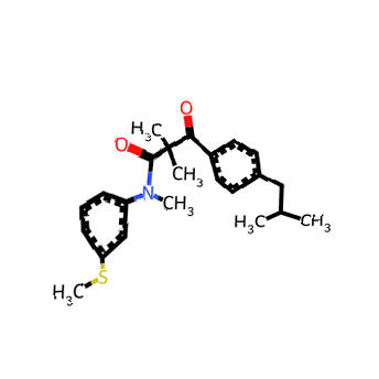 CSc1cccc(N(C)C(=O)C(C)(C)C(=O)c2ccc(CC(C)C)cc2)c1